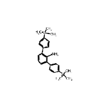 C[Si](C)(C)c1ccc(-c2cccc(-c3ccc([Si](C)(C)C)cc3)c2N)cc1